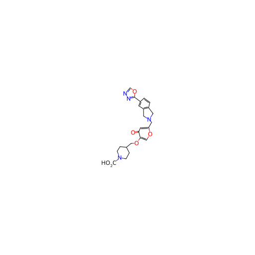 O=C(O)N1CCC(COc2coc(CN3Cc4ccc(-c5nnco5)cc4C3)cc2=O)CC1